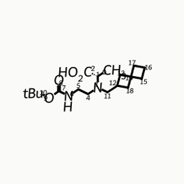 C[C@@H](C(=O)O)N(CCNC(=O)OC(C)(C)C)CC1CC2(CCC2)C1